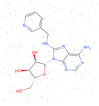 Nc1ncnc2c1nc(NCc1cccnc1)n2[C@@H]1O[C@H](CO)[C@@H](O)[C@H]1O